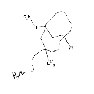 CCC12CCCC(O[N+](=O)[O-])(CC(C)(CCN)C1)C2